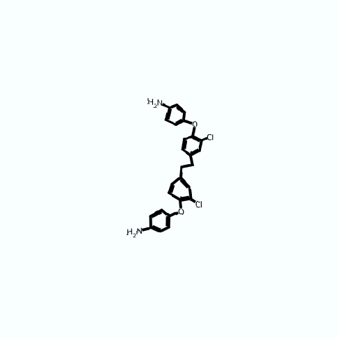 Nc1ccc(Oc2ccc(CCc3ccc(Oc4ccc(N)cc4)c(Cl)c3)cc2Cl)cc1